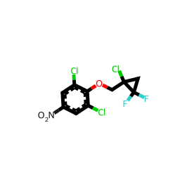 O=[N+]([O-])c1cc(Cl)c(OCC2(Cl)CC2(F)F)c(Cl)c1